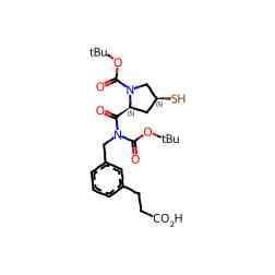 CC(C)(C)OC(=O)N(Cc1cccc(CCC(=O)O)c1)C(=O)[C@@H]1C[C@H](S)CN1C(=O)OC(C)(C)C